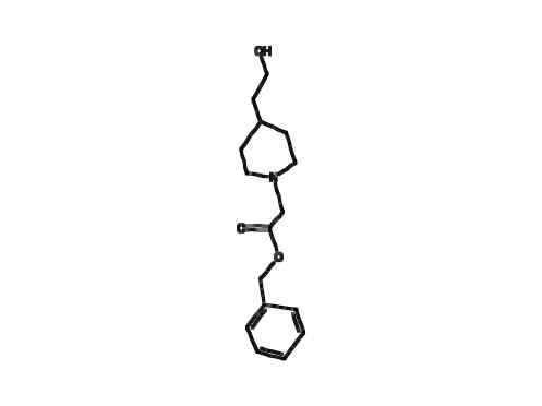 O=C(CN1CCC(CCO)CC1)OCc1ccccc1